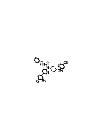 N#Cc1ccc(NC2CCC(N(C(=O)NCc3ccccc3)c3ccc(-c4ccc(=O)[nH]c4)cn3)CC2)nc1